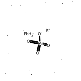 [K+].[O]=[Mn](=[O])(=[O])[O-].[PbH2]